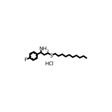 CCCCCCCCCCSCCC(N)c1ccc(F)cc1.Cl